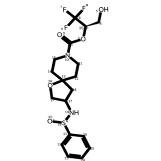 O=C(O[C@H](CO)C(F)(F)F)N1CCC2(CC1)CC(N[S+]([O-])c1ccccc1)CO2